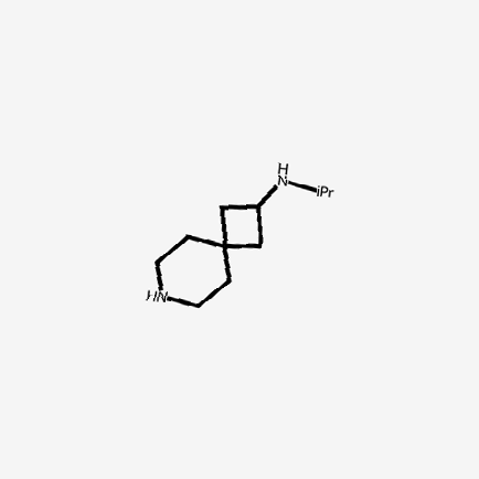 CC(C)NC1CC2(CCNCC2)C1